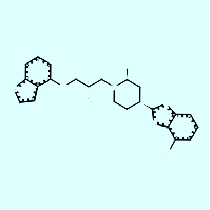 C[C@H]1C[C@@H](c2nc3c(F)cccc3s2)CCN1C[C@H](O)COc1cccc2[nH]ccc12